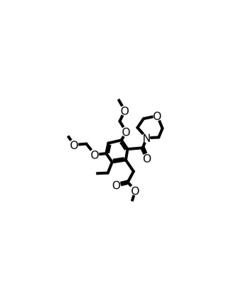 CCc1c(OCOC)cc(OCOC)c(C(=O)N2CCOCC2)c1CC(=O)OC